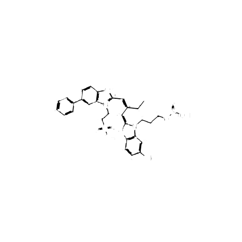 CCC(=Cc1oc2ccc(-c3ccccc3)cc2[n+]1CCS(=O)(=O)O)C=C1Oc2ccc(Cl)cc2N1CCCOS(=O)O